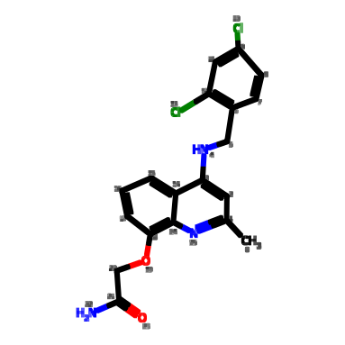 Cc1cc(NCc2ccc(Cl)cc2Cl)c2cccc(OCC(N)=O)c2n1